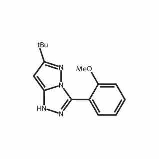 COc1ccccc1-c1n[nH]c2cc(C(C)(C)C)nn12